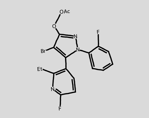 CCc1nc(F)ccc1-c1c(Br)c(OOC(C)=O)nn1-c1ccccc1F